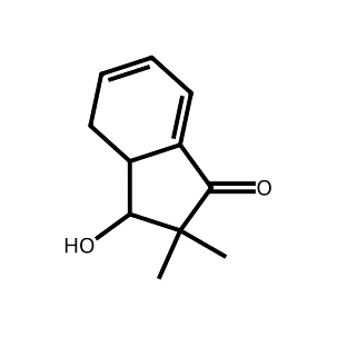 CC1(C)C(=O)C2=CC=CCC2C1O